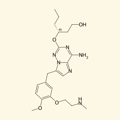 CCC[C@H](CCO)Oc1nc(N)c2ncc(Cc3ccc(OC)c(OCCNC)c3)n2n1